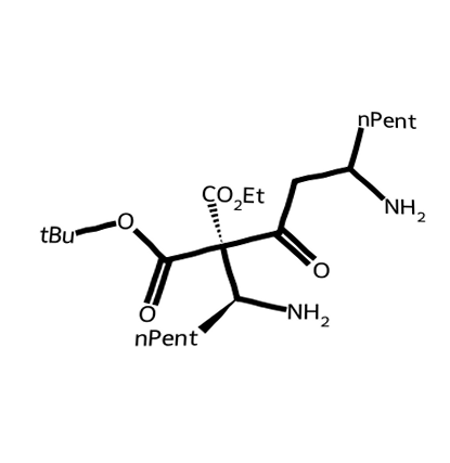 CCCCCC(N)CC(=O)[C@](C(=O)OCC)(C(=O)OC(C)(C)C)[C@@H](N)CCCCC